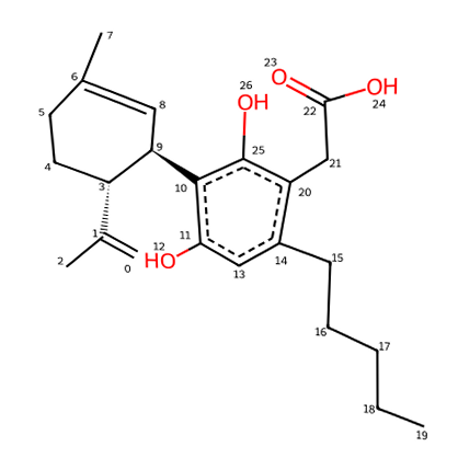 C=C(C)[C@@H]1CCC(C)=C[C@H]1c1c(O)cc(CCCCC)c(CC(=O)O)c1O